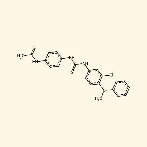 CC(=O)Nc1ccc(NC(=S)Nc2ccc(N(C)c3ccccc3)c(Cl)c2)cc1